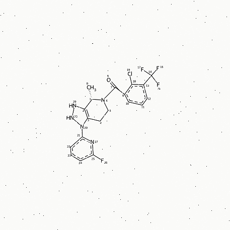 C[C@H]1C2=C(CCN1C(=O)c1cccc(C(F)(F)F)c1Cl)N(c1cccc(F)n1)NN2